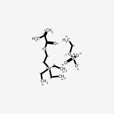 C=C(C)C(=O)OCC[N+](CC)(CC)CC.CCOS(=O)(=O)[O-]